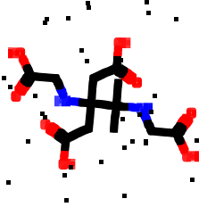 CC(C)(NCC(=O)O)C(CC(=O)O)(CC(=O)O)NCC(=O)O